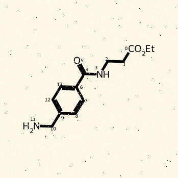 CCOC(=O)CCNC(=O)c1ccc(CN)cc1